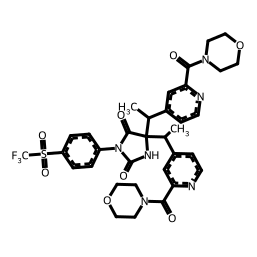 CC(c1ccnc(C(=O)N2CCOCC2)c1)C1(C(C)c2ccnc(C(=O)N3CCOCC3)c2)NC(=O)N(c2ccc(S(=O)(=O)C(F)(F)F)cc2)C1=O